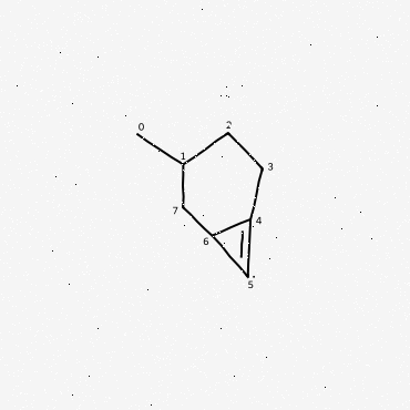 CC1CCC2=[C]C2C1